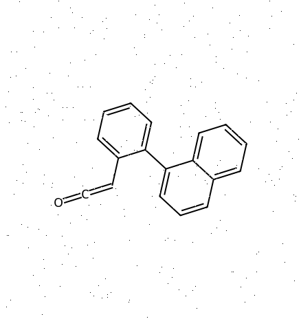 O=C=Cc1ccccc1-c1cccc2ccccc12